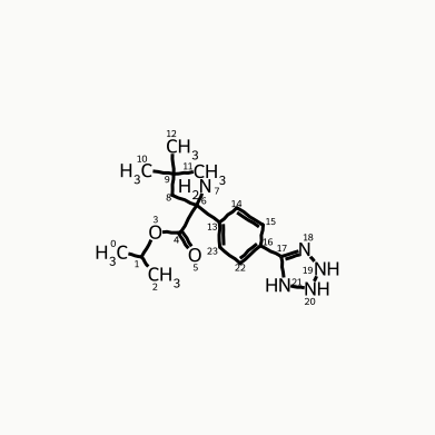 CC(C)OC(=O)C(N)(CC(C)(C)C)c1ccc(C2=NNNN2)cc1